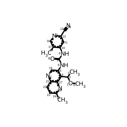 COC(C)c1c(NC(=O)Nc2cc(C#N)ncc2C)cnc2ccc(C)nc12